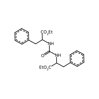 CCOC(=O)C(Cc1ccccc1)NC(=O)NC(Cc1ccccc1)C(=O)OCC